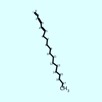 [C]=CC=CC=CCCCCCCCCCCCCC